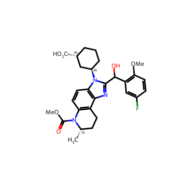 COC(=O)N1c2ccc3c(nc(C(O)c4cc(F)ccc4OC)n3[C@@H]3CCC[C@@H](C(=O)O)C3)c2CC[C@@H]1C